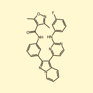 Cc1noc(C)c1C(=O)Nc1cccc(-c2nn3ccccc3c2-c2ccnc(Nc3cccc(F)c3)n2)c1